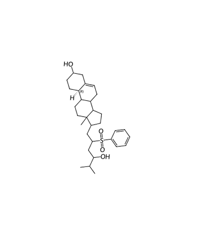 CC(C)C(O)CC(CC1CCC2C3CC=C4CC(O)CC[C@@H]4C3CCC12C)S(=O)(=O)c1ccccc1